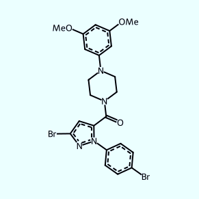 COc1cc(OC)cc(N2CCN(C(=O)c3cc(Br)nn3-c3ccc(Br)cc3)CC2)c1